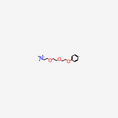 C[N+](C)(C)CCOCCOCCOc1cc[c]cc1